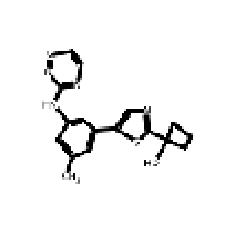 Cc1cc(Nc2nccnn2)cc(-c2cnc(C3(O)CCC3)s2)c1